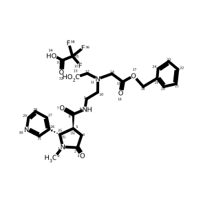 CN1C(=O)C[C@H](C(=O)NCCN(CC(=O)O)CC(=O)OCc2ccccc2)[C@H]1c1cccnc1.O=C(O)C(F)(F)F